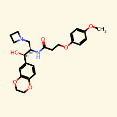 COc1ccc(OCCC(=O)N[C@H](CN2CCC2)[C@H](O)c2ccc3c(c2)OCCO3)cc1